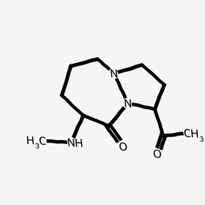 CNC1CCCN2CCC(C(C)=O)N2C1=O